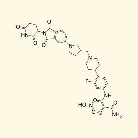 NC(=O)c1oon(O)oc1Nc1ccc(C2CCN(CC3CCN(c4ccc5c(c4)C(=O)N(C4CCC(=O)NC4=O)C5=O)C3)CC2)c(F)c1